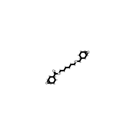 O=C(OCCCCCCOCC1CCC2OC2C1)C1CCC2OC2C1